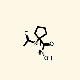 CC(=O)NC1(C(=O)NO)CCCC1